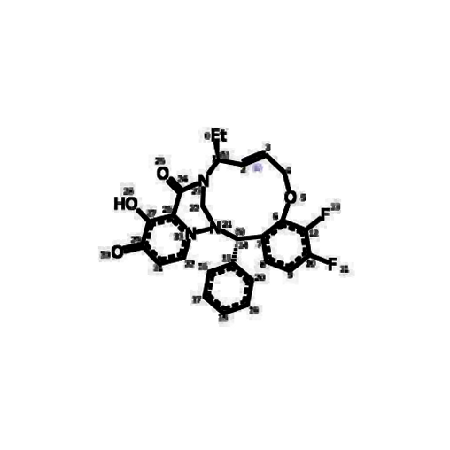 CC[C@H]1/C=C/COc2c(ccc(F)c2F)[C@H](c2ccccc2)N2CN1C(=O)c1c(O)c(=O)ccn12